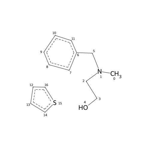 CN(CCO)Cc1ccccc1.c1ccsc1